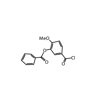 COc1ccc(C(=O)Cl)cc1OC(=O)c1ccccc1